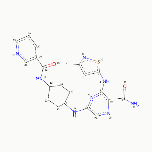 Cc1cc(Nc2nc(NC3CCC(NC(=O)c4cccnc4)CC3)cnc2C(N)=O)sn1